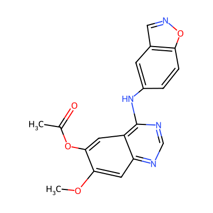 COc1cc2ncnc(Nc3ccc4oncc4c3)c2cc1OC(C)=O